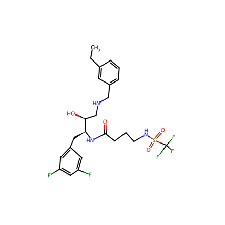 CCc1cccc(CNC[C@H](O)[C@H](Cc2cc(F)cc(F)c2)NC(=O)CCCNS(=O)(=O)C(F)(F)F)c1